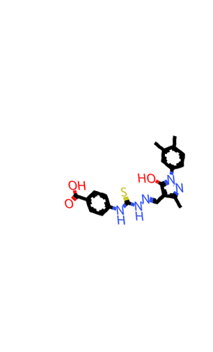 Cc1ccc(-n2nc(C)c(C=NNC(=S)Nc3ccc(C(=O)O)cc3)c2O)cc1C